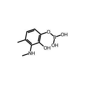 CNc1c(C)ccc(OB(O)O)c1O